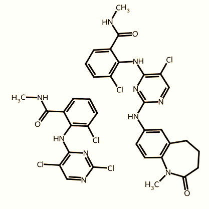 CNC(=O)c1cccc(Cl)c1Nc1nc(Cl)ncc1Cl.CNC(=O)c1cccc(Cl)c1Nc1nc(Nc2ccc3c(c2)CCCC(=O)N3C)ncc1Cl